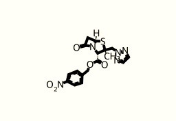 C[C@@]1(Cn2nccn2)S[C@@H]2CC(=O)N2[C@H]1C(=O)OCc1ccc([N+](=O)[O-])cc1